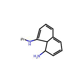 CC(C)NC1=CC=CC2=CC=CC(N)C21